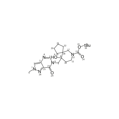 Cn1cc2ncn(CC3(O)CCN(C(=O)OC(C)(C)C)CC34CCCC4)c(=O)c2n1